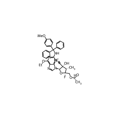 C#C[C@]1(O)[C@H](n2cnc3c(OCC)nc(NC(c4ccccc4)(c4ccccc4)c4ccc(OC)cc4)nc32)O[C@](F)(CO[PH](C)=O)[C@H]1C